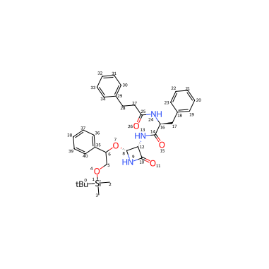 CC(C)(C)[Si](C)(C)OCC(O[C@H]1NC(=O)[C@H]1NC(=O)[C@H](Cc1ccccc1)NC(=O)CCc1ccccc1)c1ccccc1